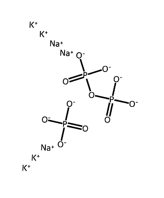 O=P([O-])([O-])OP(=O)([O-])[O-].O=P([O-])([O-])[O-].[K+].[K+].[K+].[K+].[Na+].[Na+].[Na+]